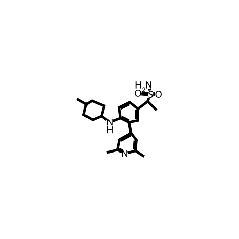 Cc1cc(-c2cc(C(C)S(N)(=O)=O)ccc2NC2CCC(C)CC2)cc(C)n1